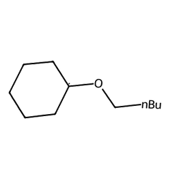 CCCCCO[C]1CCCCC1